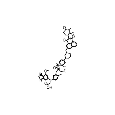 COc1cc([C@@H](CC(=O)O)c2ccc(C)c(CN3C[C@@H](C)Oc4cc(C5CCCC(Cc6cc7c8c(cccc8c6)C(=O)N(C6CCC(=O)N(C)C6=O)C7=O)C5)ccc4S3(=O)=O)c2)cc2nnn(C)c12